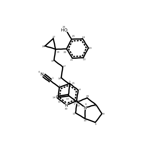 N#Cc1ccc(N2C3CCC2CN(C(=O)CCCCC2(c4ccccc4O)CC2)C3)nc1